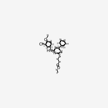 CCOOCCSc1nc(Nc2ccc(OC)c(Cl)c2)cc(-c2ccccc2)n1